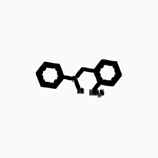 CCN(Cc1ccccc1S(=O)(=O)O)c1ccccc1